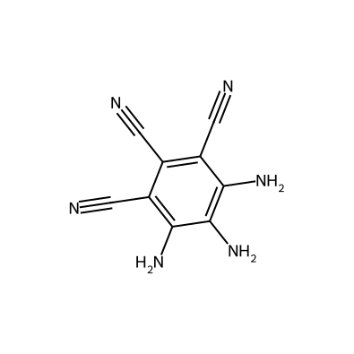 N#Cc1c(N)c(N)c(N)c(C#N)c1C#N